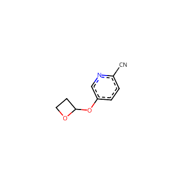 N#Cc1ccc(OC2CCO2)cn1